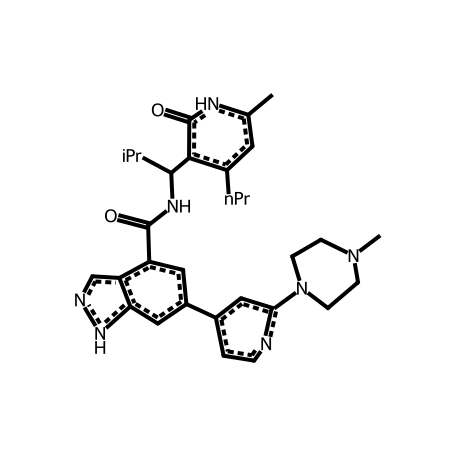 CCCc1cc(C)[nH]c(=O)c1C(NC(=O)c1cc(-c2ccnc(N3CCN(C)CC3)c2)cc2[nH]ncc12)C(C)C